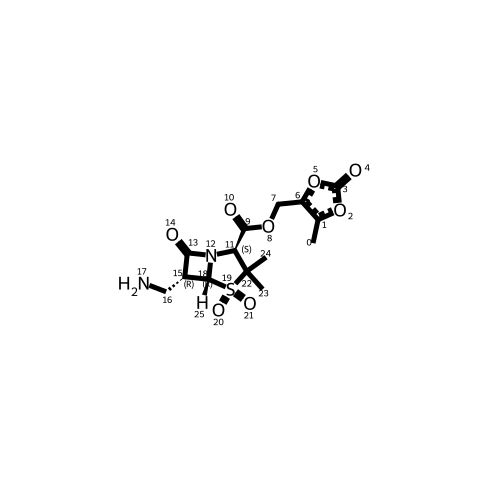 Cc1oc(=O)oc1COC(=O)[C@@H]1N2C(=O)[C@@H](CN)[C@H]2S(=O)(=O)C1(C)C